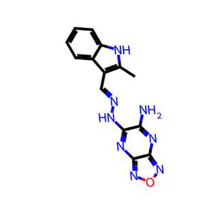 Cc1[nH]c2ccccc2c1C=NNc1nc2nonc2nc1N